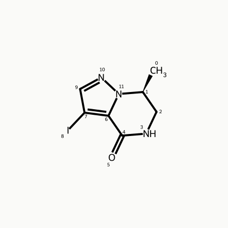 C[C@H]1CNC(=O)c2c(I)cnn21